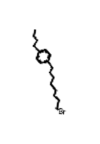 CCCCc1ccc(CCCCCCCCBr)cc1